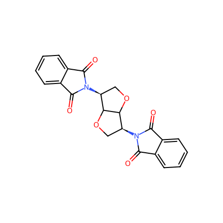 O=C1c2ccccc2C(=O)N1[C@H]1COC2C1OC[C@@H]2N1C(=O)c2ccccc2C1=O